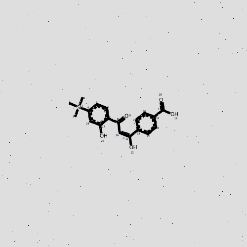 C[Si](C)(C)c1ccc(C(=O)/C=C(/O)c2ccc(C(=O)O)cc2)c(O)c1